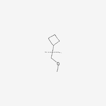 [CH2]C(C)(COC)C1CCC1